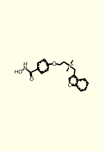 C[N+](C)(CCOc1ccc(C(=O)NO)cc1)Cc1coc2ccccc12